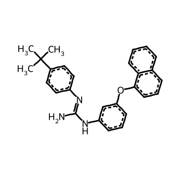 CC(C)(C)c1ccc(N=C(N)Nc2cccc(Oc3cccc4ccccc34)c2)cc1